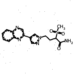 CS(=O)(=O)C(CCn1cc(-c2cnc3ccccc3n2)cn1)C(N)=O